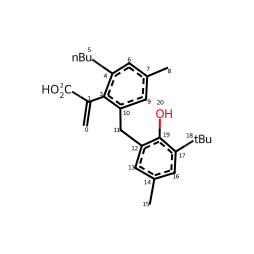 C=C(C(=O)O)c1c(CCCC)cc(C)cc1Cc1cc(C)cc(C(C)(C)C)c1O